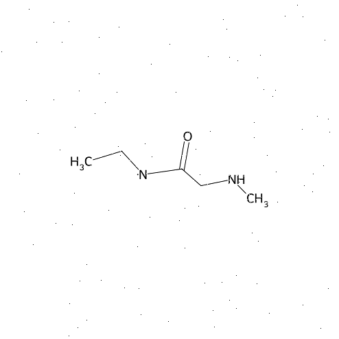 CC[N]C(=O)CNC